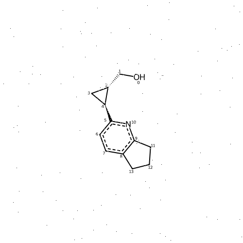 OC[C@H]1C[C@@H]1c1ccc2c(n1)CCC2